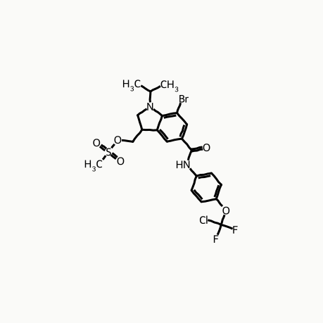 CC(C)N1CC(COS(C)(=O)=O)c2cc(C(=O)Nc3ccc(OC(F)(F)Cl)cc3)cc(Br)c21